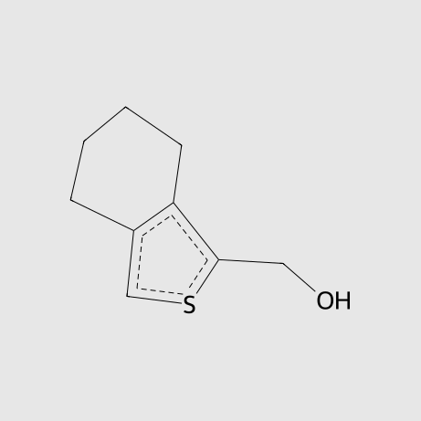 OCc1scc2c1CCCC2